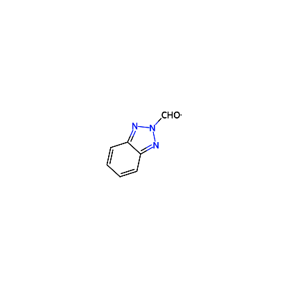 O=[C]n1nc2ccccc2n1